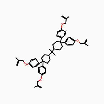 C=C(C)COc1ccc(C2(c3ccc(OCC(=C)C)cc3)CCC(C(C)(C)C3CCC(c4ccc(OCC(=C)C)cc4)(c4ccc(OCC(=C)C)cc4)CC3)CC2)cc1